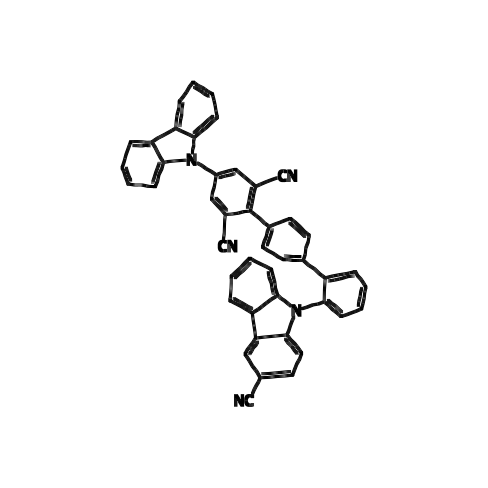 N#Cc1ccc2c(c1)c1ccccc1n2-c1ccccc1-c1ccc(-c2c(C#N)cc(-n3c4ccccc4c4ccccc43)cc2C#N)cc1